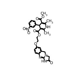 COC(=O)C1=C(C)NC(C)=C(C(=O)OCCOc2ccc3c(c2)CN2CC(=O)NC2=N3)C1c1cccc([N+](=O)[O-])c1